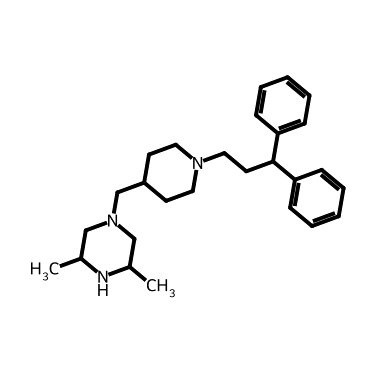 CC1CN(CC2CCN(CCC(c3ccccc3)c3ccccc3)CC2)CC(C)N1